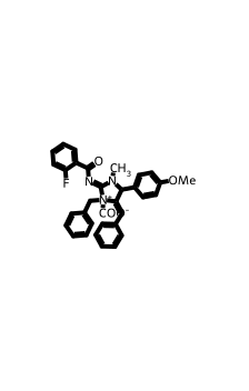 COc1ccc(C2C(=Cc3ccccc3)[N+](Cc3ccccc3)(C(=O)[O-])C(=NC(=O)c3ccccc3F)N2C)cc1